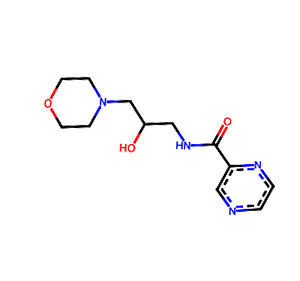 O=C(NCC(O)CN1CCOCC1)c1cnccn1